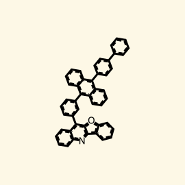 c1ccc(-c2ccc(-c3c4ccccc4c(-c4cccc(-c5c6ccccc6nc6c5oc5ccccc56)c4)c4ccccc34)cc2)cc1